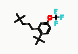 CC(C)(C)CCCc1cc(OC(F)(F)F)ccc1C(C)(C)C